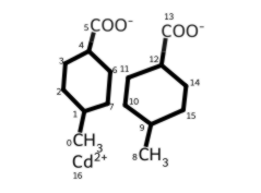 CC1CCC(C(=O)[O-])CC1.CC1CCC(C(=O)[O-])CC1.[Cd+2]